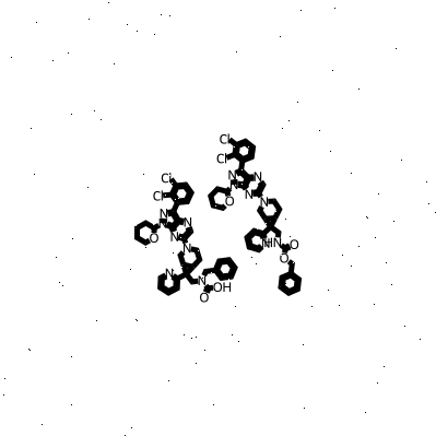 O=C(NCC1(c2ccccn2)C2CCN(c3cnc4c(-c5cccc(Cl)c5Cl)nn(C5CCCCO5)c4n3)CC21)OCc1ccccc1.O=C(O)N(Cc1ccccc1)CC1(c2ccccn2)C2CCN(c3cnc4c(-c5cccc(Cl)c5Cl)nn(C5CCCCO5)c4n3)CC21